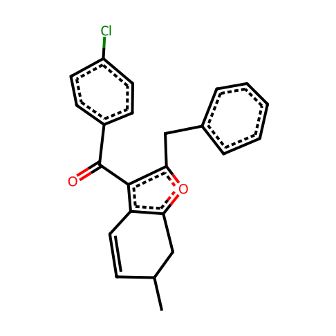 CC1C=Cc2c(oc(Cc3ccccc3)c2C(=O)c2ccc(Cl)cc2)C1